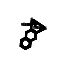 CCCCC12SC1(CCCC)C1SC1C1=C2Cc2ccccc2O1